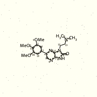 COc1cc(-c2cnc3[nH]c(=O)n(CCN(C)C)c3n2)cc(OC)c1OC